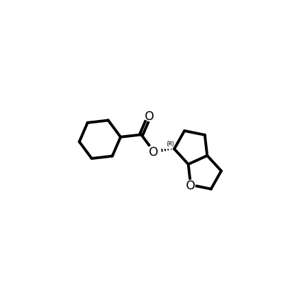 O=C(O[C@@H]1CCC2CCOC21)C1CCCCC1